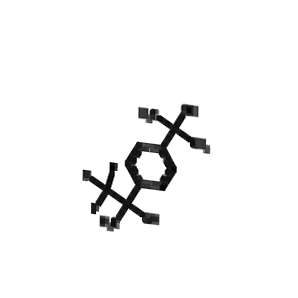 CC(C)(O)c1ccc(C(C)(O)C(F)(F)F)cc1